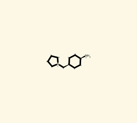 N[C@H]1CC[C@@H](CN2CCCC2)CC1